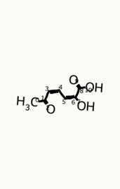 CC(=O)/C=C\C=C(\O)C(=O)O